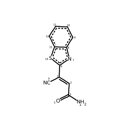 N#CC(=CC(N)=O)c1nc2ccccc2s1